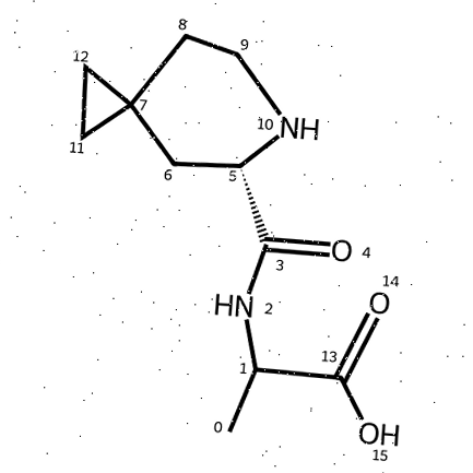 CC(NC(=O)[C@@H]1CC2(CCN1)CC2)C(=O)O